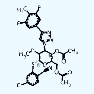 COC1C(n2cc(-c3cc(F)c(C)c(F)c3)nn2)[C@@H](OC(C)=O)C(COC(C)=O)O[C@@H]1Sc1cc(Cl)ccc1C#N